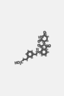 O=C(O)CCc1cccc(CNc2cccc3c2C(=O)N(C2CCC(=O)NC2=O)C3=O)c1